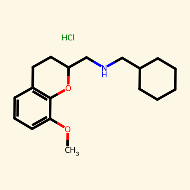 COc1cccc2c1OC(CNCC1CCCCC1)CC2.Cl